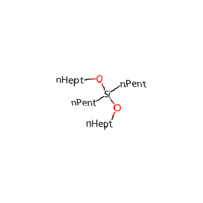 CCCCCCCO[Si](CCCCC)(CCCCC)OCCCCCCC